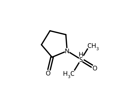 C[SH](C)(=O)N1CCCC1=O